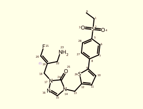 CCS(=O)(=O)c1ccc(-c2ccc(Cn3cnn(C/C(=C/F)CN)c3=O)s2)cc1